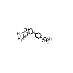 COC1(CN(C)C)CCCN(c2ccc(C(C)CS)nc2)C1